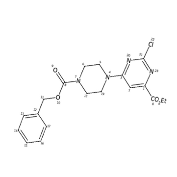 CCOC(=O)c1cc(N2CCN(C(=O)OCc3ccccc3)CC2)nc(Cl)n1